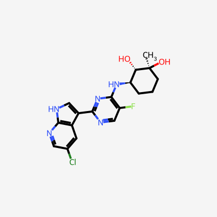 C[C@]1(O)CCC[C@@H](Nc2nc(-c3c[nH]c4ncc(Cl)cc34)ncc2F)[C@@H]1O